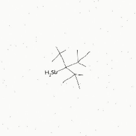 CC(C)(C)[C]([SbH2])(C(C)(C)C)C(C)(C)C